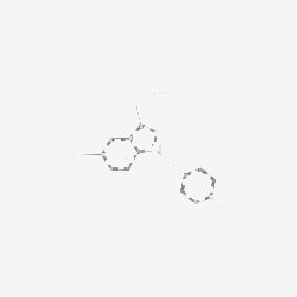 Cc1ccc(S(=O)(=O)n2cc(CO)c3cc(Cl)ccc32)cc1